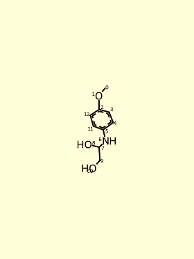 COc1ccc(NC(O)CO)cc1